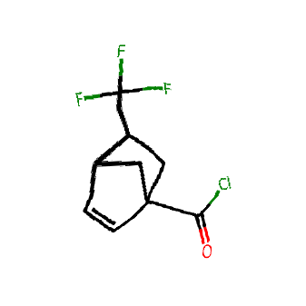 O=C(Cl)C12C=CC(C1)C(C(F)(F)F)C2